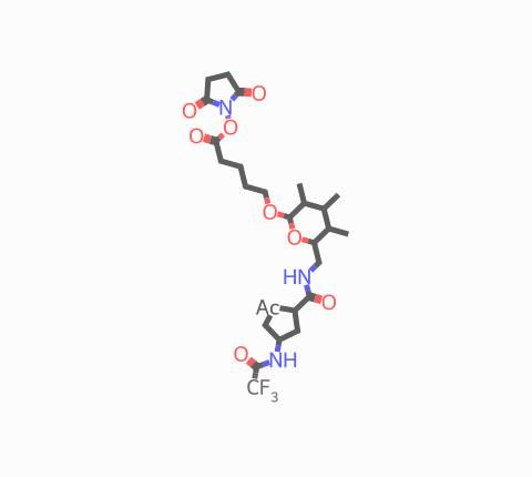 CC1C(CNC(=O)[CH]2CC(NC(=O)C(F)(F)F)[CH2][Ac]2)OC(OCCCCC(=O)ON2C(=O)CCC2=O)C(C)C1C